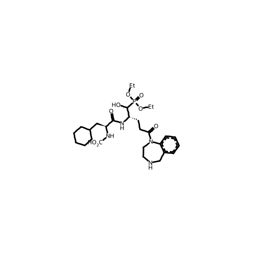 CCOP(=O)(OCC)C(O)[C@H](CCC(=O)N1CCNCc2ccccc21)NC(=O)[C@H](CC1CCCCC1)NC(=O)O